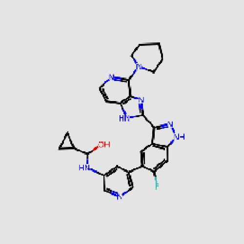 OC(Nc1cncc(-c2cc3c(-c4nc5c(N6CCCCC6)nccc5[nH]4)n[nH]c3cc2F)c1)C1CC1